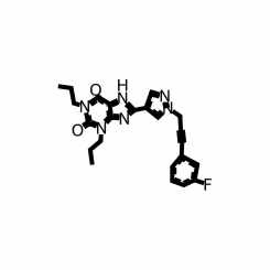 CCCn1c(=O)c2[nH]c(-c3cnn(CC#Cc4cccc(F)c4)c3)nc2n(CCC)c1=O